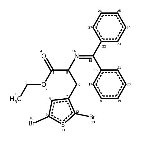 CCOC(=O)C(Cc1cc(Br)sc1Br)N=C(c1ccccc1)c1ccccc1